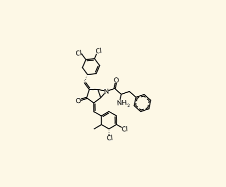 CC1C(/C=C2/C(=O)/C(=C/[C@H]3C=CC(Cl)=C(Cl)C3)C3C2N3C(=O)C(N)Cc2ccccc2)=CC=C(Cl)[C@@H]1Cl